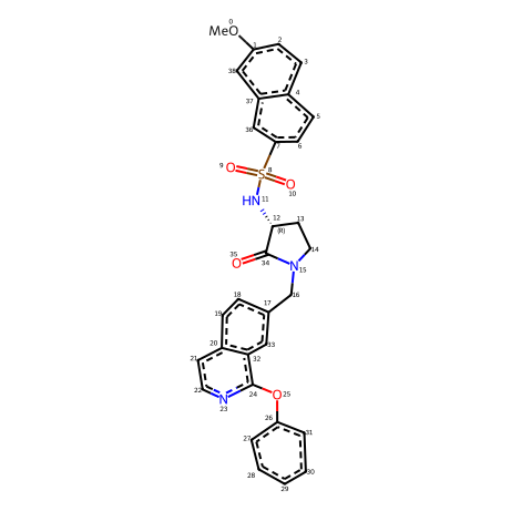 COc1ccc2ccc(S(=O)(=O)N[C@@H]3CCN(Cc4ccc5ccnc(Oc6ccccc6)c5c4)C3=O)cc2c1